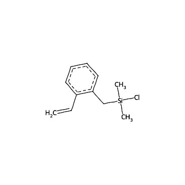 C=Cc1ccccc1C[Si](C)(C)Cl